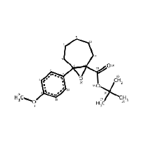 COc1ccc(C23CCCCCC2(C(=O)OC(C)(C)C)O3)cc1